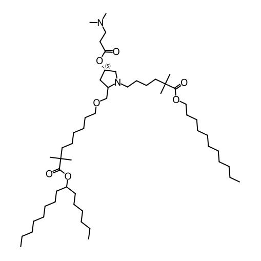 CCCCCCCCCCCOC(=O)C(C)(C)CCCCN1C[C@@H](OC(=O)CCN(C)C)CC1COCCCCCCC(C)(C)C(=O)OC(CCCCCC)CCCCCCCC